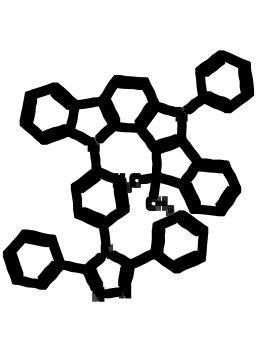 CC1(C)c2ccccc2-c2c1c1c(ccc3c4ccccc4n(-c4ccc(-n5c(-c6ccccc6)nnc5-c5ccccc5)cc4)c31)n2-c1ccccc1